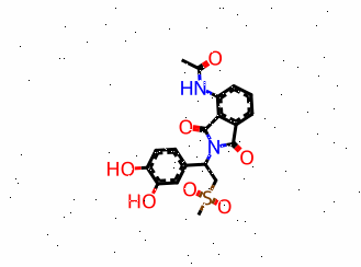 CC(=O)Nc1cccc2c1C(=O)N(C(CS(C)(=O)=O)c1ccc(O)c(O)c1)C2=O